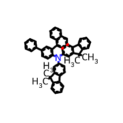 CC1(C)c2ccccc2-c2ccc(N(c3ccc4c(c3)C(C)(C)c3ccccc3-4)c3ccc(-c4ccccc4)cc3-c3cccc4ccccc34)cc21